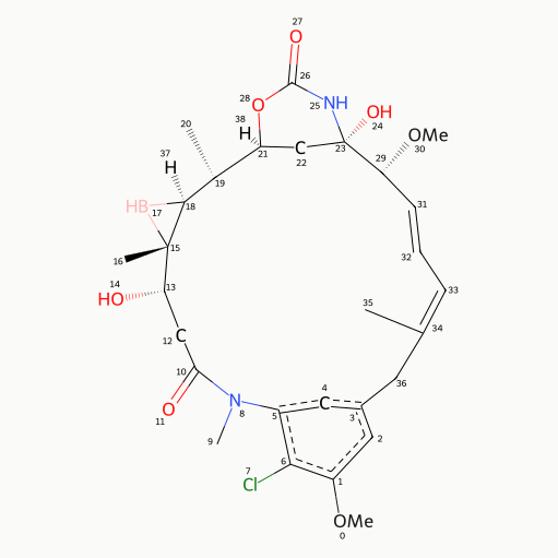 COc1cc2cc(c1Cl)N(C)C(=O)C[C@H](O)[C@]1(C)B[C@H]1[C@H](C)[C@@H]1C[C@@](O)(NC(=O)O1)[C@H](OC)/C=C/C=C(\C)C2